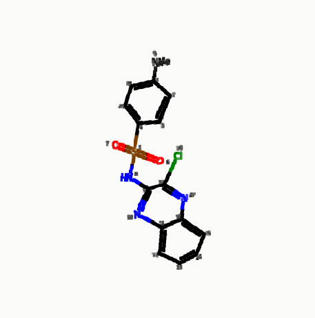 CNc1ccc(S(=O)(=O)Nc2nc3ccccc3nc2Cl)cc1